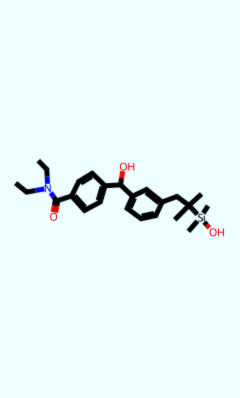 CCN(CC)C(=O)c1ccc(C(O)c2cccc(CC(C)(C)[Si](C)(C)O)c2)cc1